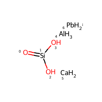 O=[Si](O)O.[AlH3].[CaH2].[PbH2]